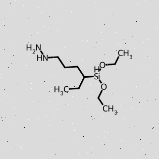 CCO[SiH](OCC)C(CC)CCCNN